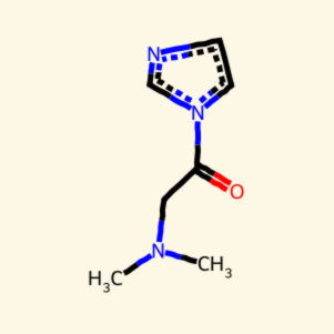 CN(C)CC(=O)n1ccnc1